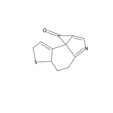 O=C1C2=CN=C3CCC4SCC=C4C123